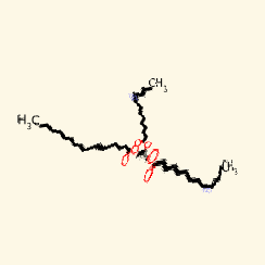 CCCC/C=C\CCCCCCCC(=O)OC[C@H](COC(=O)CCCCCCCCCCCCCCC)OC(=O)CCCCCCC/C=C\CCCC